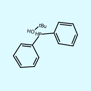 CC(C)(C)O.c1ccc(Pc2ccccc2)cc1